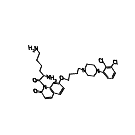 NCCCCC(N)C(=O)n1c(=O)ccc2ccc(OCCCCN3CCN(c4cccc(Cl)c4Cl)CC3)cc21